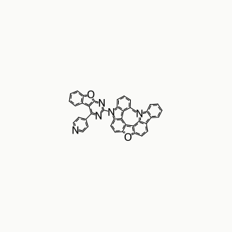 c1ccc2c(c1)oc1nc(-n3c4ccc5oc6ccc7c8ccccc8n8c9cccc3c9c4c5c6c78)nc(-c3ccncc3)c12